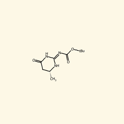 C[C@@H]1CC(=O)N/C(=N/C(=O)OC(C)(C)C)N1